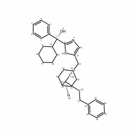 O[C@](c1ccccc1)(c1ncc(C[N+]23CCC(CC2)[C@H](SCc2ccccc2)C3)o1)C1CCCCC1